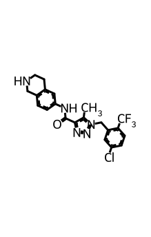 Cc1c(C(=O)Nc2ccc3c(c2)CCNC3)nnn1Cc1cc(Cl)ccc1C(F)(F)F